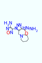 NNC(=O)c1nnn(-c2nonc2N)c1CN1CCCCCC1